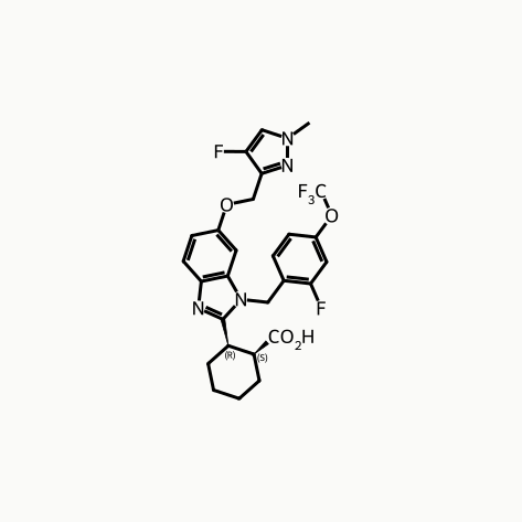 Cn1cc(F)c(COc2ccc3nc([C@@H]4CCCC[C@@H]4C(=O)O)n(Cc4ccc(OC(F)(F)F)cc4F)c3c2)n1